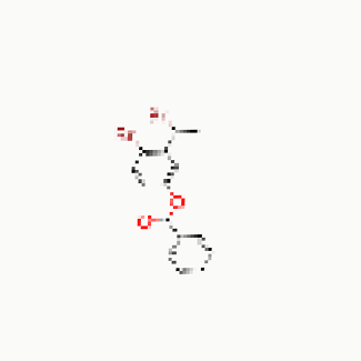 CC(Br)c1cc(OC(=O)c2ccccc2)ccc1Br